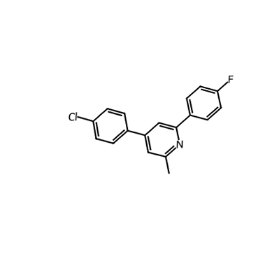 Cc1cc(-c2ccc(Cl)cc2)cc(-c2ccc(F)cc2)n1